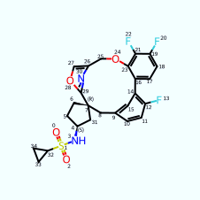 O=S(=O)(N[C@H]1CC[C@@]2(Cc3ccc(F)c(c3)-c3ccc(F)c(F)c3OCc3coc2n3)C1)C1CC1